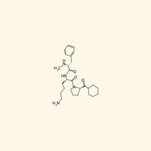 CN[C@H](Cc1ccccc1)C(=O)N[C@H](CCCCN)C(=O)N1CCC[C@@H]1C(=O)[C]1CCCCC1